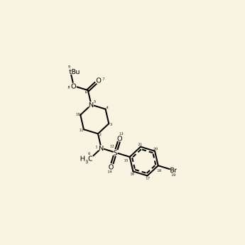 CN(C1CCN(C(=O)OC(C)(C)C)CC1)S(=O)(=O)c1ccc(Br)cc1